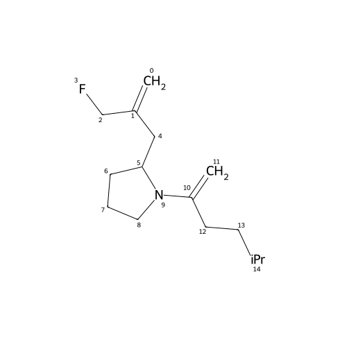 C=C(CF)CC1CCCN1C(=C)CCC(C)C